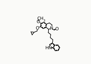 COc1cc2c(cc1OCC1CC1)C(CCCCc1c[nH]c3ccccc13)N(C=O)CC2